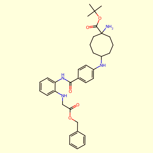 CC(C)(C)OC(=O)C1(N)CCCC(Nc2ccc(C(=O)Nc3ccccc3NCC(=O)OCc3ccccc3)cc2)CCC1